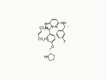 C[C@@H](Nc1ccc2ncc(-c3ccc(OC[C@@H]4CCCN4)cc3)n2n1)c1cccc(F)c1.O=C(O)C=CC(=O)O